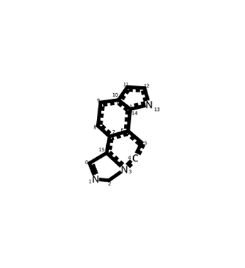 C1=NCn2ccc3c(ccc4ccnc43)c21